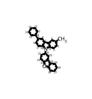 Cc1ccc2c(c1)c1cc(-c3ccccc3)ccc1n2-c1ccc2oc3ccccc3c2c1